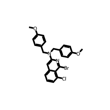 COc1ccc(CN(Cc2ccc(OC)cc2)c2cc3cccc(Cl)c3c(Br)n2)cc1